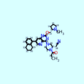 C=CC(=O)N1CCN(c2nc(OC[C@@H]3CCCN3C)nc3cc(-c4cccc5c4CCCC5)cnc23)C[C@@H]1CC#N